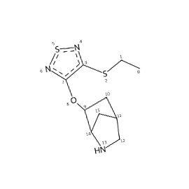 CCSc1nsnc1OC1CC2CNC1C2